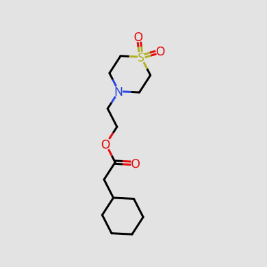 O=C(CC1CCCCC1)OCCN1CCS(=O)(=O)CC1